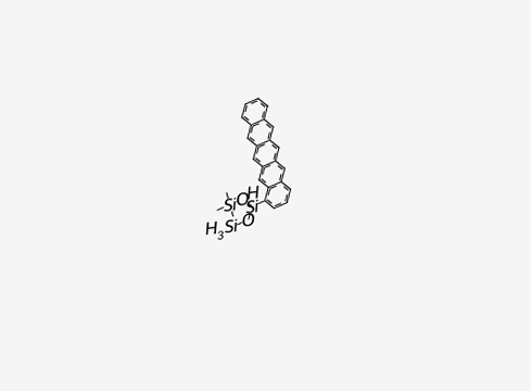 C[Si](C)(C)O[SiH](O[SiH3])c1cccc2cc3cc4cc5ccccc5cc4cc3cc12